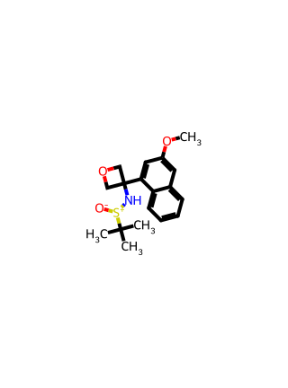 COc1cc(C2(N[S+]([O-])C(C)(C)C)COC2)c2ccccc2c1